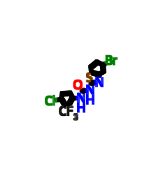 O=C(Nc1ccc(Cl)c(C(F)(F)F)c1)Nc1nc2cc(Br)ccc2s1